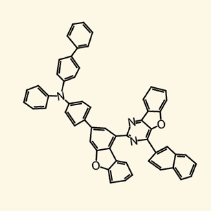 c1ccc(-c2ccc(N(c3ccccc3)c3ccc(-c4cc(-c5nc(-c6ccc7ccccc7c6)c6oc7ccccc7c6n5)c5c(c4)oc4ccccc45)cc3)cc2)cc1